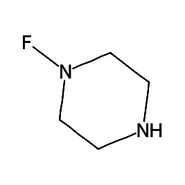 FN1CCNCC1